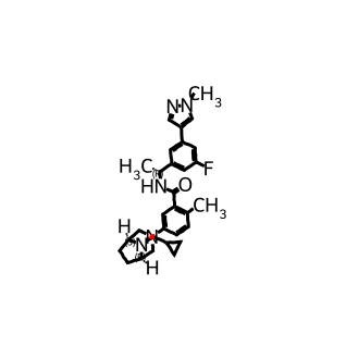 Cc1ccc(N2C[C@H]3CC[C@@H](C2)N3CC2CC2)cc1C(=O)N[C@H](C)c1cc(F)cc(-c2cnn(C)c2)c1